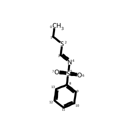 CCSC=NS(=O)(=O)c1ccccc1